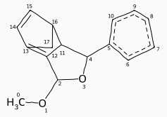 COC1OC(c2ccccc2)C2C1=C1C=CC2C1